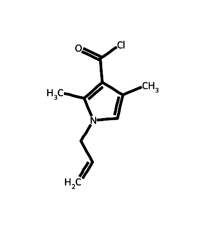 C=CCn1cc(C)c(C(=O)Cl)c1C